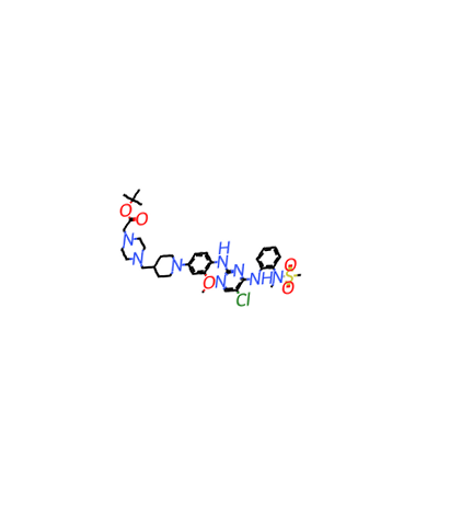 COc1cc(N2CCC(CN3CCN(CC(=O)OC(C)(C)C)CC3)CC2)ccc1Nc1ncc(Cl)c(Nc2ccccc2N(C)S(C)(=O)=O)n1